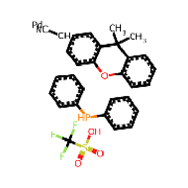 CC#N.CC1(C)c2ccccc2Oc2ccccc21.O=S(=O)(O)C(F)(F)F.[Pd].c1ccc(Pc2ccccc2)cc1